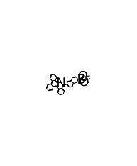 CC1(C)OB(c2ccc3cc(-c4nc5c6ccccc6c6ccccc6c5c5ccccc45)ccc3c2)OC1(C)C